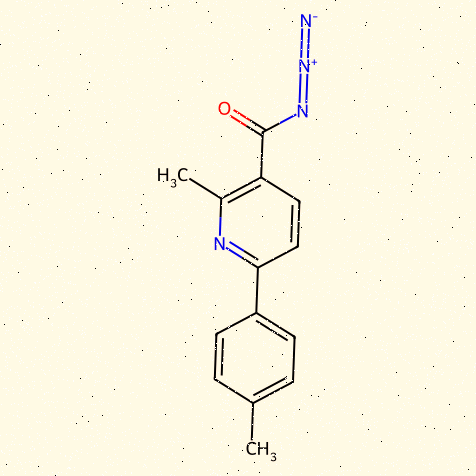 Cc1ccc(-c2ccc(C(=O)N=[N+]=[N-])c(C)n2)cc1